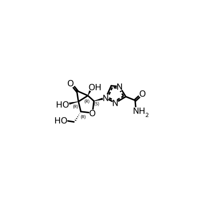 NC(=O)c1ncn([C@H]2O[C@H](CO)[C@]3(O)C(=O)[C@]23O)n1